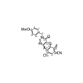 COc1ccc(Cn2cnc(C(C)=O)c(Oc3cc(Cl)cc(C#N)c3F)c2=O)cc1